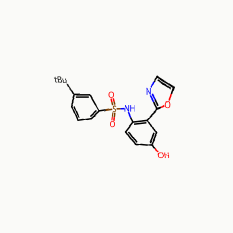 CC(C)(C)c1cccc(S(=O)(=O)Nc2ccc(O)cc2-c2ncco2)c1